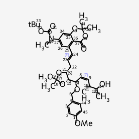 COc1ccc(CO[C@H](/C=C\[C@@H](C)[C@H](C)O)[C@@H]2OC(C)(C)O[C@H]2C/C=C/c2cc(N(C)C(=O)OC(C)(C)C)cc3c2C(=O)OC(C)(C)O3)cc1